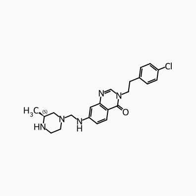 C[C@H]1CN(CNc2ccc3c(=O)n(CCc4ccc(Cl)cc4)cnc3c2)CCN1